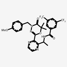 COc1ccc(CN2N=C(c3nccnc3C(C)NC(=O)c3cc(C(F)(F)F)cc(C(F)(F)F)c3)OC(C)(C)C2=O)cc1